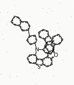 c1ccc2cc(-c3ccc(N(c4cccc5sc6ccccc6c45)c4cccc5sc6ccc7oc8c9ccccc9ccc8c7c6c45)cc3)ccc2c1